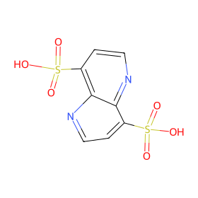 O=S(=O)(O)c1ccnc2c(S(=O)(=O)O)ccnc12